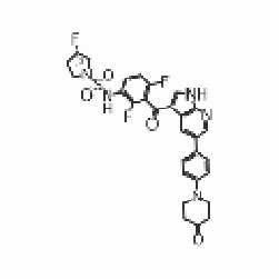 O=C1CCN(c2ccc(-c3cnc4[nH]cc(C(=O)c5c(F)ccc(NS(=O)(=O)N6CC[C@@H](F)C6)c5F)c4c3)cc2)CC1